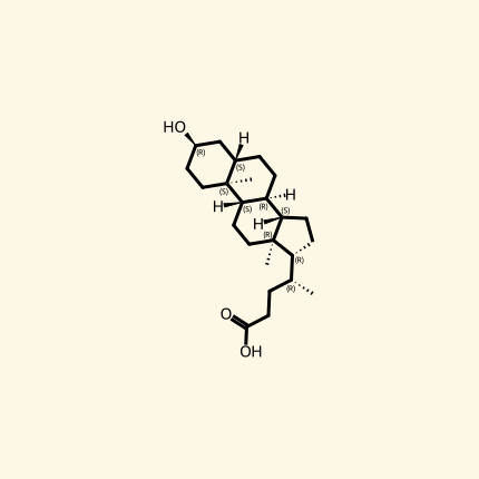 C[C@H](CCC(=O)O)[C@H]1CC[C@H]2[C@@H]3CC[C@H]4C[C@H](O)CC[C@]4(C)[C@H]3CC[C@]12C